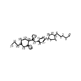 CCCCCC1CCC(c2ccc(CC(=O)C3CCC(CCC)CC3=O)cc2)CC1